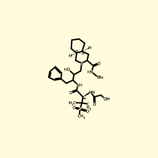 CC(C)(C)NC(=O)C1C[C@@H]2CCCC[C@@H]2CN1CC(O)C(Cc1ccccc1)NC(=O)[C@@H](NC(=O)CO)C(C)(C)S(C)(=O)=O